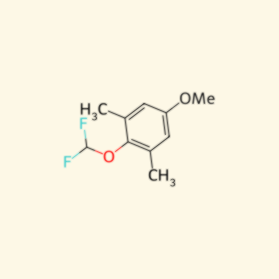 COc1cc(C)c(OC(F)F)c(C)c1